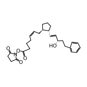 O=C(CCC/C=C\C[C@H]1CCC[C@@H]1/C=C/[C@@H](O)CCc1ccccc1)ON1C(=O)CCC1=O